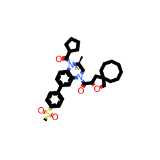 C[C@H]1CN(C(=O)C2CC3(CCCCCCC3)CO2)c2cc(-c3ccc(S(C)(=O)=O)cc3)ccc2N1C(=O)C1CCCC1